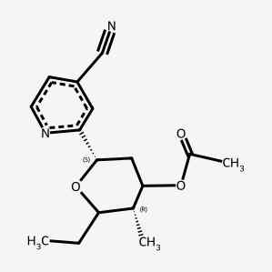 CCC1O[C@H](c2cc(C#N)ccn2)CC(OC(C)=O)[C@@H]1C